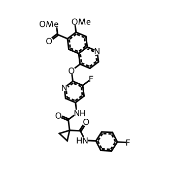 COC(=O)c1cc2c(Oc3ncc(NC(=O)C4(C(=O)Nc5ccc(F)cc5)CC4)cc3F)ccnc2cc1OC